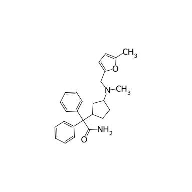 Cc1ccc(CN(C)C2CCC(C(C(N)=O)(c3ccccc3)c3ccccc3)C2)o1